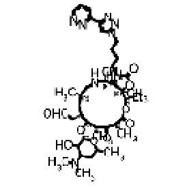 CC[C@H]1OC(=O)[C@H](C)C(=O)[C@H](C)[C@@H](O[C@@H]2OC(C)CC(N(C)C)C2O)[C@@H](CC=O)C[C@@H](C)CN[C@H](C)[C@H]2N(CCCCn3cc(-c4cccnn4)nn3)C(=O)O[C@]12C